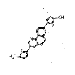 Cc1ccc(-c2cnc3c(ccc4cc(-c5ccc(C)s5)cnc43)c2)s1